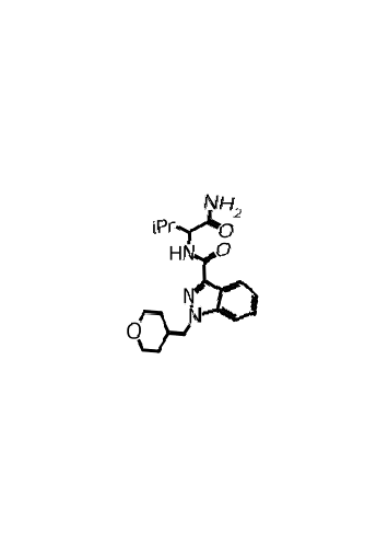 CC(C)C(NC(=O)c1nn(CC2CCOCC2)c2ccccc12)C(N)=O